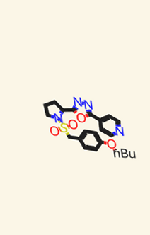 CCCCOc1ccc(CS(=O)(=O)N2CCCC2c2nnc(-c3ccncc3)o2)cc1